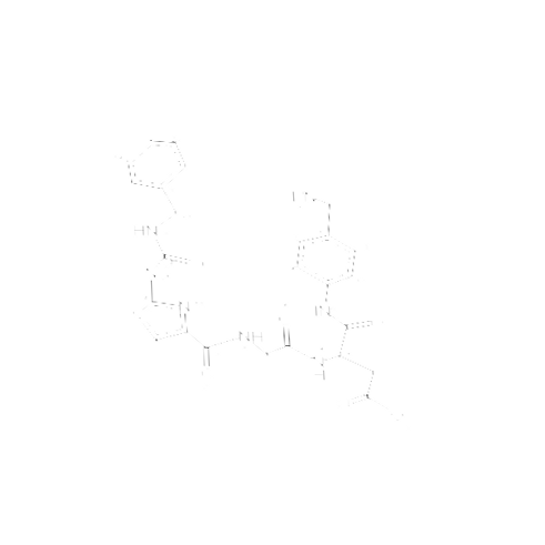 NCc1ccc(NC(=O)C(CC(=O)O)NC(=O)CNC(=O)c2csc(NC(=O)NCc3ccccc3)n2)cc1